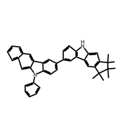 CC1(C)c2cc3[nH]c4ccc(-c5ccc6c(c5)c5cc7ccccc7cc5n6-c5ccccc5)cc4c3cc2C(C)(C)C1(C)C